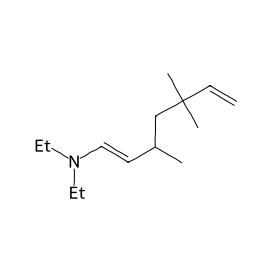 C=CC(C)(C)CC(C)C=CN(CC)CC